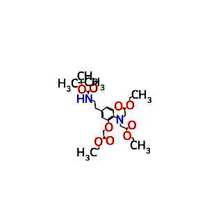 CCOC(=O)COc1cc(CCNC(=O)OC(C)(C)C)ccc1N(CC(=O)OCC)CC(=O)OCC